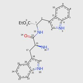 CCOC(=O)[C@H](Cc1c[nH]c2ccccc12)NC(=O)[C@@H](N)Cc1c[nH]c2ccccc12